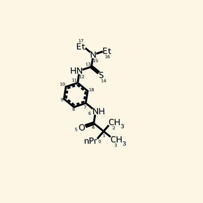 CCCC(C)(C)C(=O)Nc1cccc(NC(=S)N(CC)CC)c1